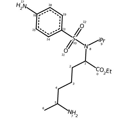 CCOC(=O)C(CCCC(C)N)N(C(C)C)S(=O)(=O)c1ccc(N)cc1